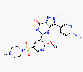 CCOc1ncc(S(=O)(=O)N2CCN(CC)CC2)cc1-c1nc2c(-c3ccc(N)nc3)n(C)nc2c(=O)[nH]1